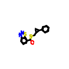 O=C(SCC1CC1c1ccccc1)c1cccc2nnsc12